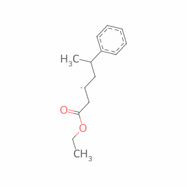 CCOC(=O)C[CH]CC(C)c1ccccc1